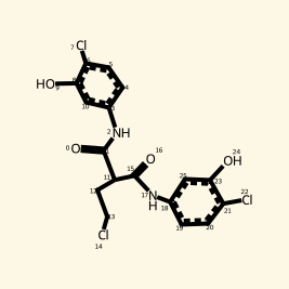 O=C(Nc1ccc(Cl)c(O)c1)C(CCCl)C(=O)Nc1ccc(Cl)c(O)c1